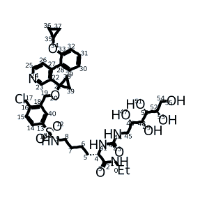 CCNC(=O)[C@H](CCCCNS(=O)(=O)c1ccc(Cl)c(COC2(c3cnccc3-c3ccccc3OC3CC3)CC2)c1)NC(=O)NC[C@H](O)[C@@H](O)[C@H](O)[C@H](O)CO